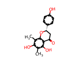 Cc1c(O)c(C)c2c(c1O)C(=O)C[C@@H](c1ccc(O)cc1)O2